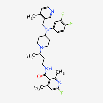 Cc1ccncc1CN(c1ccc(F)c(F)c1)C1CCN(C(C)CCNC(=O)c2c(C)cc(F)nc2C)CC1